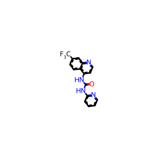 O=C(Nc1ccccn1)Nc1ccnc2cc(C(F)(F)F)ccc12